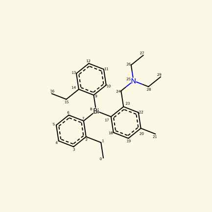 CCc1cccc[c]1[Bi]([c]1ccccc1CC)[c]1ccc(C)cc1CN(CC)CC